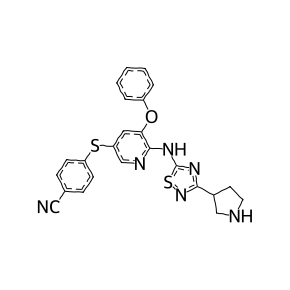 N#Cc1ccc(Sc2cnc(Nc3nc(C4CCNC4)ns3)c(Oc3ccccc3)c2)cc1